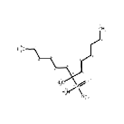 CCCCCCC(C)(CCCCCC)P(N)(N)=O